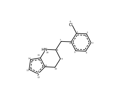 Clc1ccccc1CC1CCc2sccc2N1